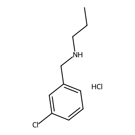 CCCNCc1cccc(Cl)c1.Cl